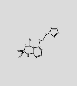 NC1=NS(=O)(=O)Nc2cccc(OCCn3cccc3)c21